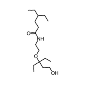 CCC(CC)CCC(=O)NCCOC(CC)(CC)CCO